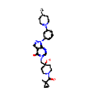 CC1(C(=O)N2CCC(O)(Cn3cnc4c(cnn4-c4cccc(N5CCC(C#N)CC5)c4)c3=O)CC2)CC1